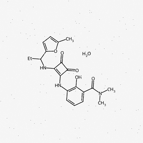 CCC(Nc1c(Nc2cccc(C(=O)N(C)C)c2O)c(=O)c1=O)c1ccc(C)o1.O